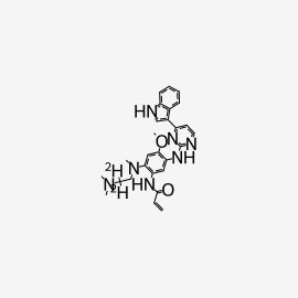 [2H]C([2H])(CN(C)c1cc(OC)c(Nc2nccc(-c3c[nH]c4ccccc34)n2)cc1NC(=O)C=C)N(C)C